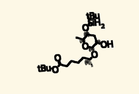 C[C@H](CCCCC(=O)OC(C)(C)C)O[C@@H]1O[C@@H](C)[C@H](O[SiH2]C(C)(C)C)C[C@H]1O